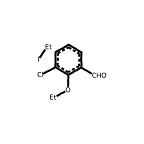 CCI.CCOc1c(Cl)cccc1C=O